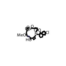 CO[C@@H]1/C=C/C(O)C2CCC2CN2C[C@@]3(CCCc4cc(Cl)ccc43)COc3ccc(cc32)C(=O)NS(=O)(=O)[C@@H](C)C1